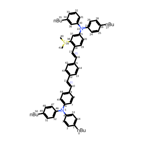 CCCCc1ccc(N(c2c[c]c(/C=C/c3ccc(/C=C/c4ccc(N(c5ccc(CCCC)cc5)c5cccc(CCCC)c5)cc4[S+](C)C)cc3)cc2)c2ccc(CCCC)cc2)cc1